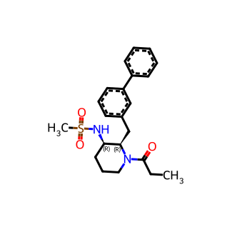 CCC(=O)N1CCC[C@@H](NS(C)(=O)=O)[C@H]1Cc1cccc(-c2ccccc2)c1